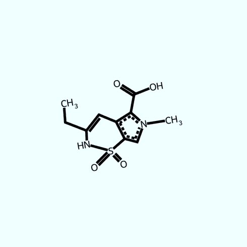 CCC1=Cc2c(cn(C)c2C(=O)O)S(=O)(=O)N1